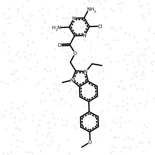 CCn1c(COC(=O)c2nc(Cl)c(N)nc2N)[n+](C)c2cc(-c3ccc(OC)cc3)ccc21